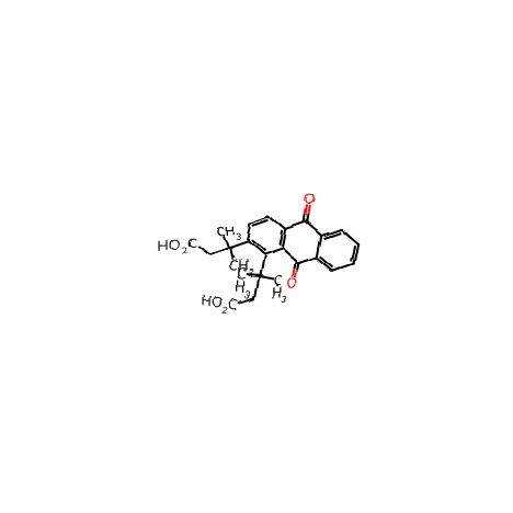 CC(C)(CC(=O)O)c1ccc2c(c1C(C)(C)CC(=O)O)C(=O)c1ccccc1C2=O